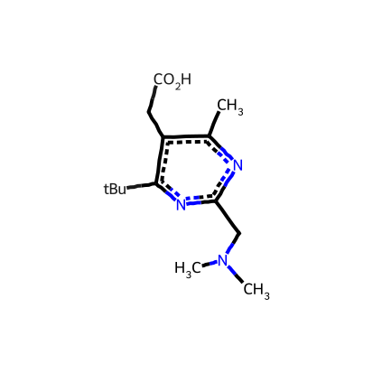 Cc1nc(CN(C)C)nc(C(C)(C)C)c1CC(=O)O